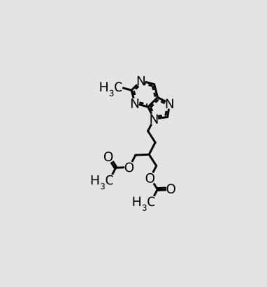 CC(=O)OCC(CCn1cnc2cnc(C)nc21)COC(C)=O